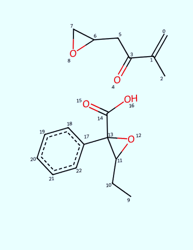 C=C(C)C(=O)CC1CO1.CCC1OC1(C(=O)O)c1ccccc1